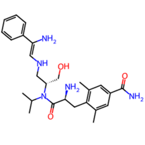 Cc1cc(C(N)=O)cc(C)c1C[C@H](N)C(=O)N(C(C)C)[C@@H](CO)CN/C=C(\N)c1ccccc1